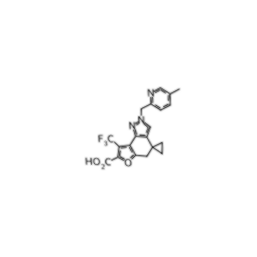 Cc1ccc(Cn2cc3c(n2)-c2c(oc(C(=O)O)c2C(F)(F)F)CC32CC2)nc1